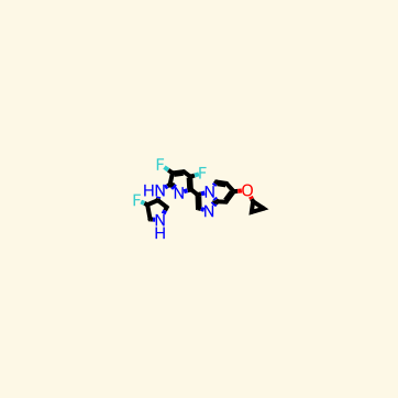 Fc1cc(F)c(-c2cnc3cc(OC4CC4)ccn23)nc1NC1CNCC1F